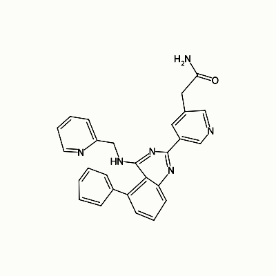 NC(=O)Cc1cncc(-c2nc(NCc3ccccn3)c3c(-c4ccccc4)cccc3n2)c1